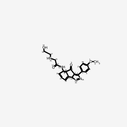 COc1ccc(C2=C3C(=O)c4c(NC(=O)CNCCO)cccc4C3N=N2)cc1